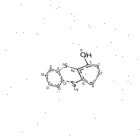 Oc1cccc2c1Sc1ccccc1S2